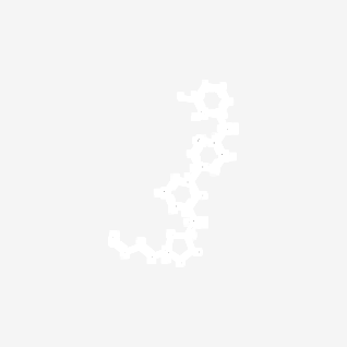 Cc1cccc(Nc2ncc(-c3cncc(N[C@H]4CCN(C=CC=O)C4)c3)cn2)n1